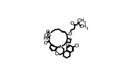 CN(C)C(=O)CCO[C@@H]1/C=C/CCCS(=O)(=O)NC(=O)c2ccc3c(c2)N(C[C@@H]2CCC21)CC1(CCCc2cc(Cl)ccc21)CO3